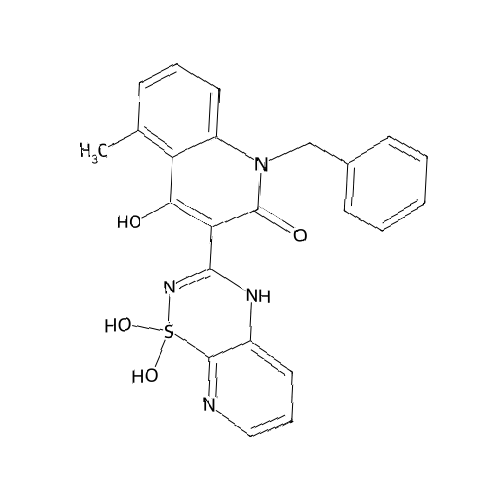 Cc1cccc2c1c(O)c(C1=NS(O)(O)c3ncccc3N1)c(=O)n2Cc1ccccc1